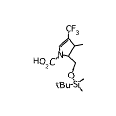 CC1C(C(F)(F)F)=CN(C(=O)O)C1CO[Si](C)(C)C(C)(C)C